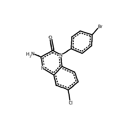 Nc1nc2cc(Cl)ccc2n(-c2ccc(Br)cc2)c1=O